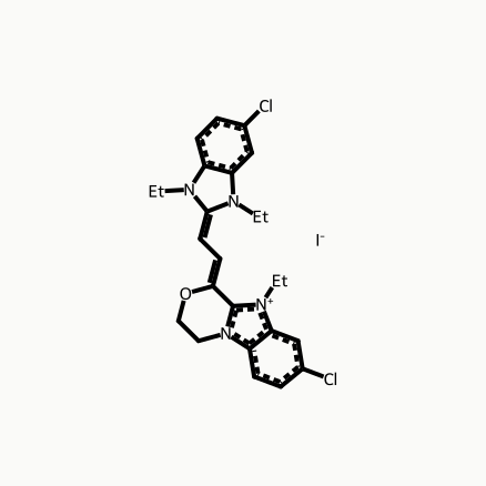 CCN1C(=CC=C2OCCn3c2[n+](CC)c2cc(Cl)ccc23)N(CC)c2cc(Cl)ccc21.[I-]